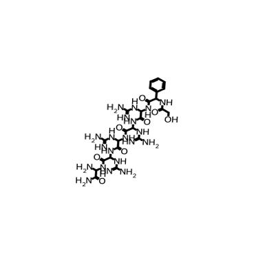 N=C(N)NC(NC(=O)C(NC(=N)N)NC(=O)C(NC(=N)N)NC(=O)C(NC(=N)N)NC(=O)C(NC(=O)CO)c1ccccc1)C(=O)NC(N)C(N)=O